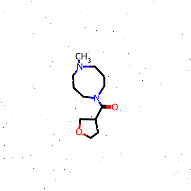 CN1CCCN(C(=O)C2CCOC2)CCC1